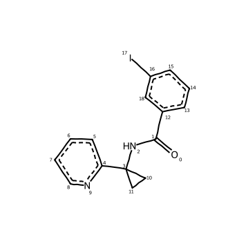 O=C(NC1(c2ccccn2)CC1)c1cccc(I)c1